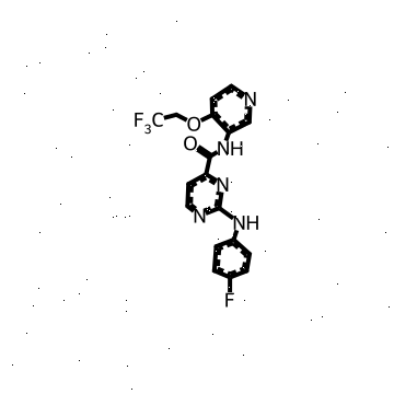 O=C(Nc1cnccc1OCC(F)(F)F)c1ccnc(Nc2ccc(F)cc2)n1